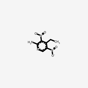 CCc1c([N+](=O)[O-])cnc(N)c1[N+](=O)[O-]